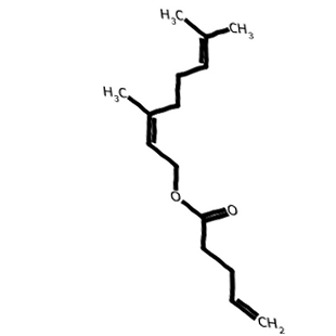 C=CCCC(=O)OCC=C(C)CCC=C(C)C